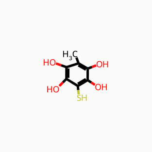 Cc1c(O)c(O)c(S)c(O)c1O